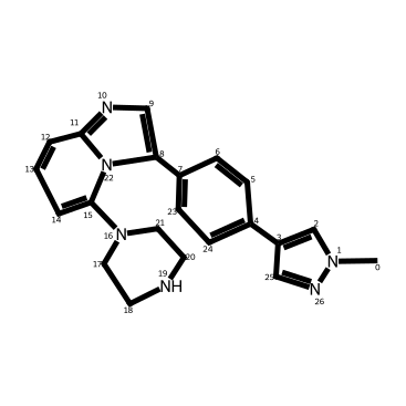 Cn1cc(-c2ccc(-c3cnc4cccc(N5CCNCC5)n34)cc2)cn1